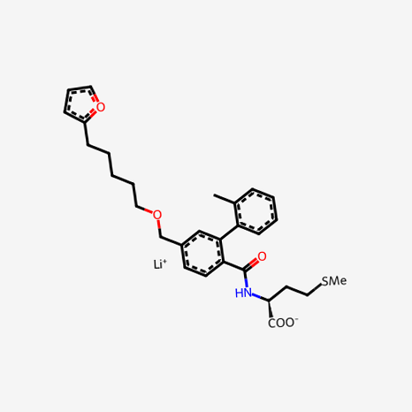 CSCC[C@H](NC(=O)c1ccc(COCCCCCc2ccco2)cc1-c1ccccc1C)C(=O)[O-].[Li+]